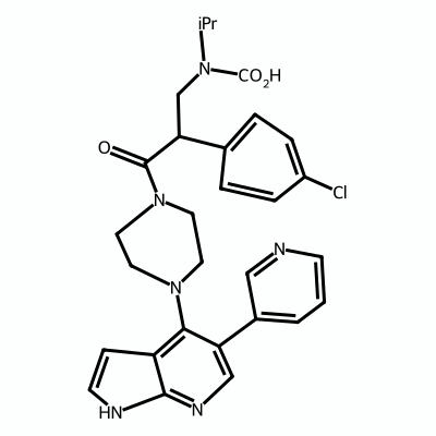 CC(C)N(CC(C(=O)N1CCN(c2c(-c3cccnc3)cnc3[nH]ccc23)CC1)c1ccc(Cl)cc1)C(=O)O